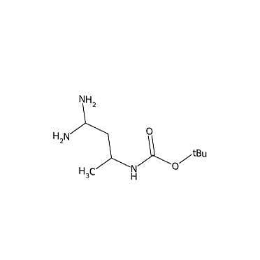 CC(CC(N)N)NC(=O)OC(C)(C)C